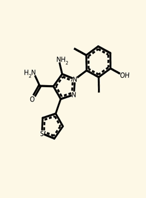 Cc1ccc(O)c(C)c1-n1nc(-c2ccsc2)c(C(N)=O)c1N